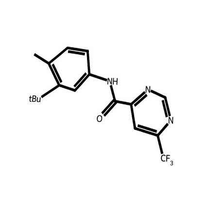 Cc1ccc(NC(=O)c2cc(C(F)(F)F)ncn2)cc1C(C)(C)C